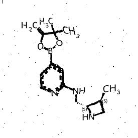 C=C1OB(c2ccnc(NC[C@H]3NC[C@@H]3C)c2)OC1(C)C